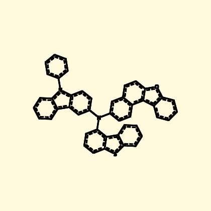 c1ccc(-n2c3ccccc3c3cc(N(c4ccc5c(ccc6oc7ccccc7c65)c4)c4cccc5sc6ccccc6c45)ccc32)cc1